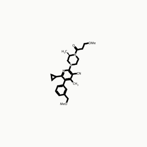 COCCC(=O)N1CCN(c2nc(C3CC3)c(-c3cccc(COC)c3)c(C)c2C#N)C[C@H]1C